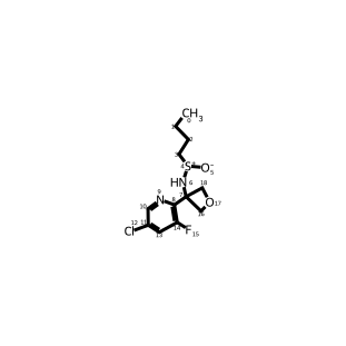 CCCC[S+]([O-])NC1(c2ncc(Cl)cc2F)COC1